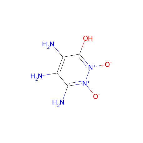 Nc1c(N)c(O)[n+]([O-])[n+]([O-])c1N